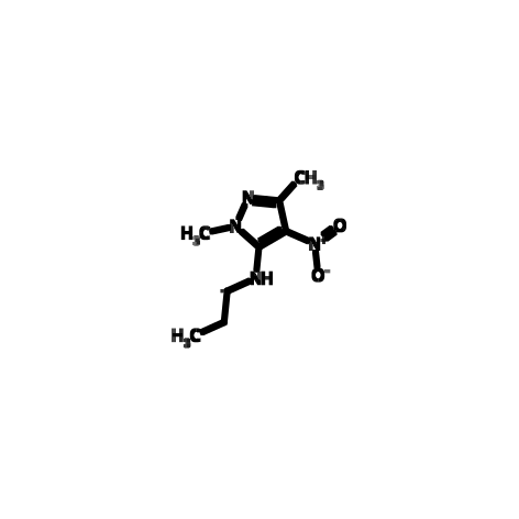 CC[CH]Nc1c([N+](=O)[O-])c(C)nn1C